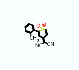 Cc1ccccc1C1=CC(=C(C#N)C#N)C=CS1(=O)=O